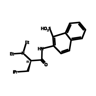 CCN(CC)[C@H](CC(C)C)C(=O)Nc1ccc2ccccc2c1S(=O)(=O)O